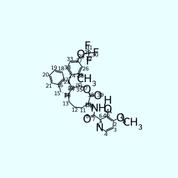 COc1ccnc(C(=O)N[C@H]2CCC[C@H](Cc3ccccc3)[C@@H](Cc3ccc(OC(F)(F)F)cc3)[C@H](C)OC2=O)c1O